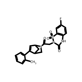 Cc1ccccc1C1=CC2CC1CN2C(=O)CN1C(=O)Nc2ccc(F)cc2S1(=O)=O